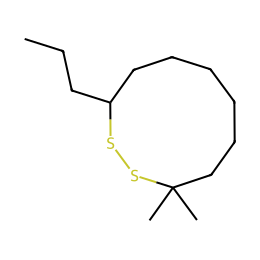 CCCC1CCCCCCC(C)(C)SS1